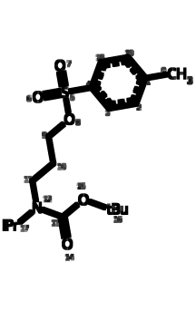 Cc1ccc(S(=O)(=O)OCCCN(C(=O)OC(C)(C)C)C(C)C)cc1